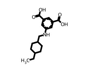 CCC1CCC(CNc2cc(C(=O)O)cc(C(=O)O)c2)CC1